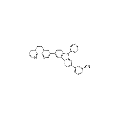 N#Cc1cccc(-c2ccc3c4cc(-c5cnc6c(ccc7cccnc76)c5)ccc4n(-c4ccccc4)c3c2)c1